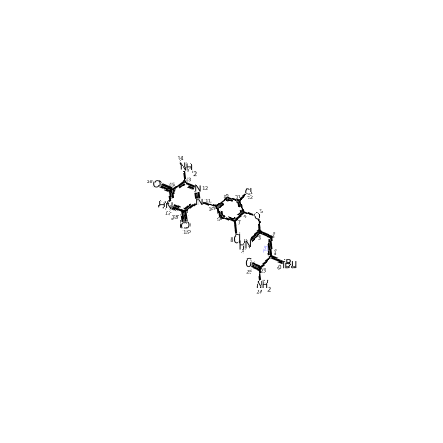 CCC(C)/C(=C/C(=N)Oc1c(Cl)cc(-n2nc(N)c(=O)[nH]c2=O)cc1Cl)C(N)=O